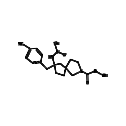 CC(C)(C)OC(=O)N1CCC2(CCC(Cc3ccc(C#N)cc3)(N[S+]([O-])C(C)(C)C)C2)C1